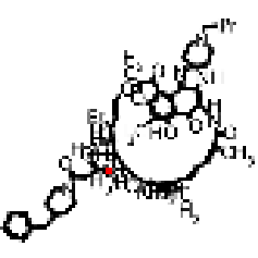 CC[C@H]1/C=C/O[C@@]2(C)Oc3c(C)c(O)c4c(c3C2=O)C2=NC3(CCN(CC(C)C)CC3)NC2=C(NC(=O)/C(C)=C\C=C\[C@H](C)[C@H](O)[C@@H](C)[C@@H](O)[C@@H](C)[C@H](OC(=O)CC(=O)N2CCC(Cc3ccccc3)CC2)[C@@H]1C)C4=O